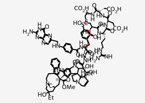 CCc1cc2c(cc1[C@@]1(C(=O)OC)CC3CN(CCc4c1[nH]c1ccccc41)CC(O)(CC)C3)C13CCN4CC=C[C@@](CC)(C(O)[C@](O)(C(=O)NNC(=O)OCc5ccc(SSC[C@H](NC(=O)[C@H](CC(=O)O)NC(=O)C(CC(=O)O)NC(=O)[C@H](CCCNC(=N)N)NC(=O)C(CC(=O)O)NC(=O)CCC(NC(=O)c6ccc(NCc7cnc8nc(N)[nH]c(=O)c8n7)cc6)C(=O)O)C(=O)O)cc5)C1N2C)[C@H]43